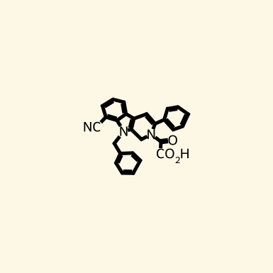 N#Cc1cccc2c3c(n(Cc4ccccc4)c12)CN(C(=O)C(=O)O)C(c1ccccc1)=C3